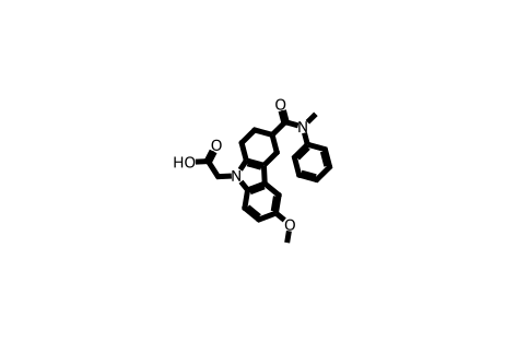 COc1ccc2c(c1)c1c(n2CC(=O)O)CCC(C(=O)N(C)c2ccccc2)C1